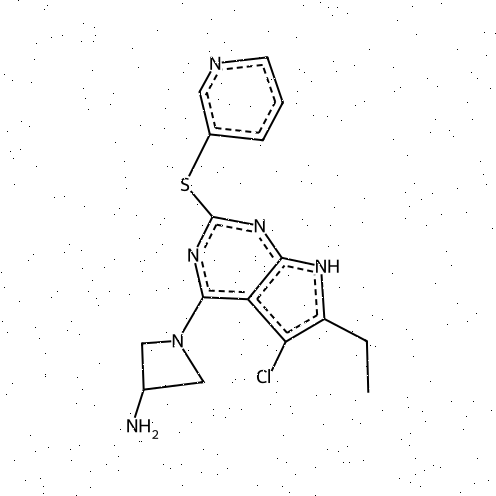 CCc1[nH]c2nc(Sc3cccnc3)nc(N3CC(N)C3)c2c1Cl